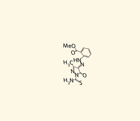 COC(=O)c1ccccc1NN=C1C(=O)N(C(N)=S)N=C1C